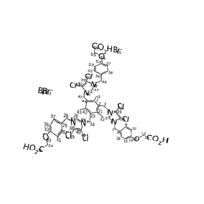 Cc1c(C[n+]2cn(Cc3ccc(OCC(=O)O)cc3)c(Cl)c2Cl)c(C)c(C[n+]2cn(Cc3ccc(OCC(=O)O)cc3)c(Cl)c2Cl)c(C)c1C[n+]1cn(Cc2ccc(OCC(=O)O)cc2)c(Cl)c1Cl.[Br-].[Br-].[Br-]